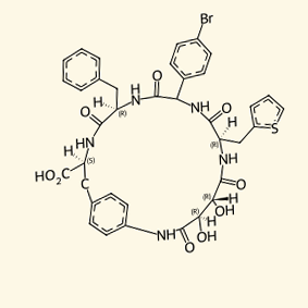 O=C1N[C@H](Cc2ccccc2)C(=O)N[C@H](C(=O)O)Cc2ccc(cc2)NC(=O)[C@H](O)[C@@H](O)C(=O)N[C@H](Cc2cccs2)C(=O)NC1c1ccc(Br)cc1